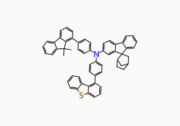 CC1(C)c2ccccc2-c2cccc(-c3ccc(N(c4ccc(-c5cccc6sc7ccccc7c56)cc4)c4ccc5c(c4)C4(CC6CCC4C6)c4ccccc4-5)cc3)c21